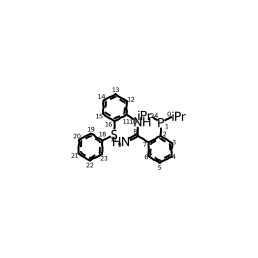 CC(C)P(c1ccccc1C(=N)Nc1ccccc1Sc1ccccc1)C(C)C